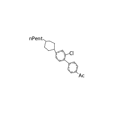 CCCCCC1CCC(c2ccc(-c3ccc(C(C)=O)cc3)c(Cl)c2)CC1